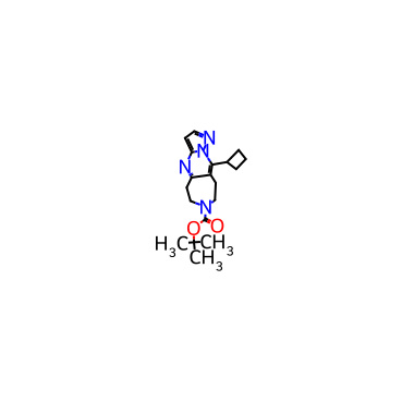 CC(C)(C)OC(=O)N1CCc2nc3ccnn3c(C3CCC3)c2CC1